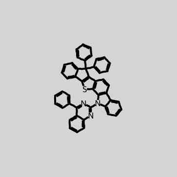 c1ccc(-c2nc(-n3c4ccccc4c4ccc5c6c(sc5c43)-c3ccccc3C6(c3ccccc3)c3ccccc3)nc3ccccc23)cc1